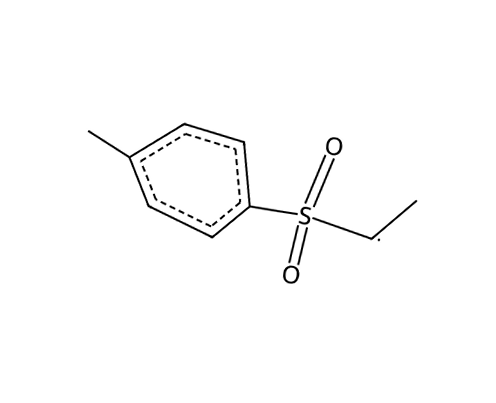 C[CH]S(=O)(=O)c1ccc(C)cc1